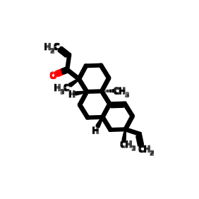 C=CC(=O)[C@]1(C)CCC[C@@]2(C)C3=CC[C@](C)(C=C)C[C@@H]3CC[C@H]12